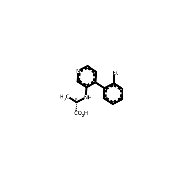 CCc1ccccc1-c1ccncc1N[C@@H](C)C(=O)O